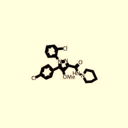 COc1c(C(=O)NN2CCCCC2)nn(-c2ccccc2Cl)c1-c1ccc(Cl)cc1